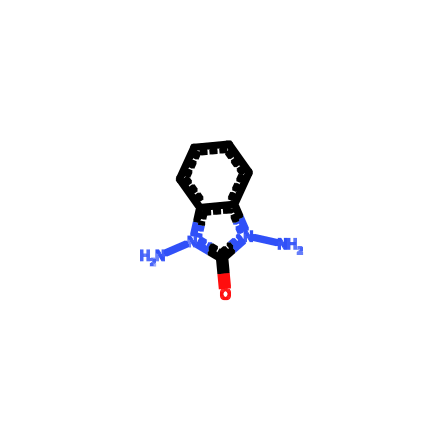 Nn1c(=O)n(N)c2ccccc21